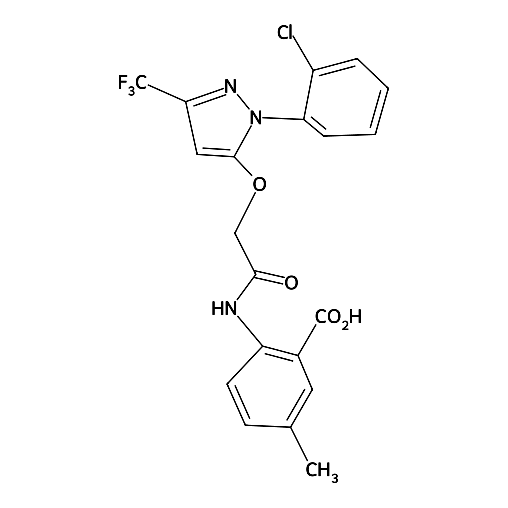 Cc1ccc(NC(=O)COc2cc(C(F)(F)F)nn2-c2ccccc2Cl)c(C(=O)O)c1